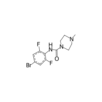 CN1CCN(C(=O)Nc2c(F)cc(Br)cc2F)CC1